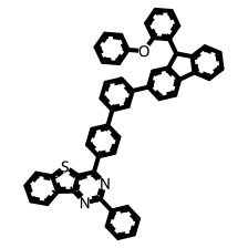 c1ccc(Oc2ccccc2C2c3ccccc3-c3ccc(-c4cccc(-c5ccc(-c6nc(-c7ccccc7)nc7c6sc6ccccc67)cc5)c4)cc32)cc1